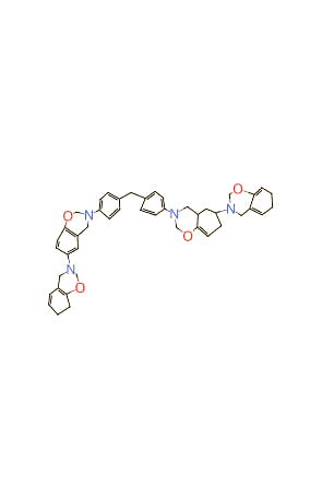 C1=CC2=C(CC1)OCN(c1ccc3c(c1)CN(c1ccc(Cc4ccc(N5COC6=CCC(N7COC8=CCCC=C8C7)CC6C5)cc4)cc1)CO3)C2